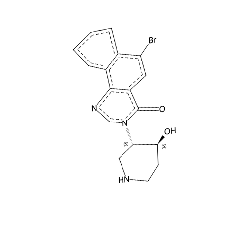 O=c1c2cc(Br)c3ccccc3c2ncn1[C@H]1CNCC[C@@H]1O